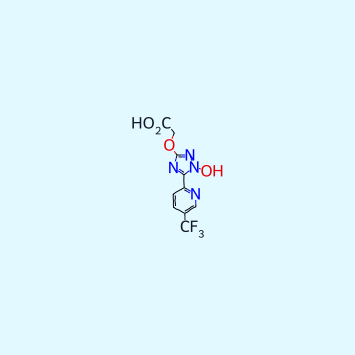 O=C(O)COc1nc(-c2ccc(C(F)(F)F)cn2)n(O)n1